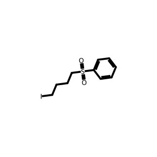 O=S(=O)(CCCCI)c1ccccc1